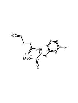 C=CCCC(=O)N[C@@H](Cc1cccc(I)c1)C(=O)OC